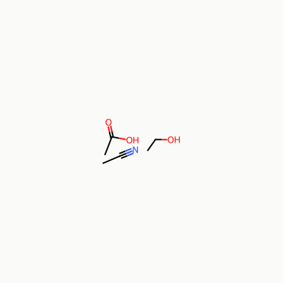 CC#N.CC(=O)O.CCO